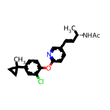 CC(=O)N[C@@H](C)/C=C/c1ccc(Oc2ccc(C3(C)CC3)cc2Cl)nc1